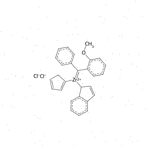 COc1ccccc1[C](c1ccccc1)=[Zr+2]([C]1=CC=CC1)[CH]1C=Cc2ccccc21.[Cl-].[Cl-]